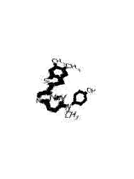 Cc1cc2cc(-c3cnc4ccc(N(C)C5CCC(O)CC5)nn34)sc2cc1C